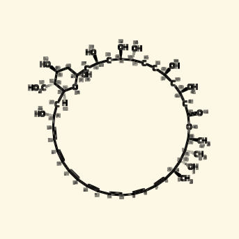 C[C@@H]1[C@H](O)[C@@H](C)C=CC=CC=CC=CC=CC=CC=C[C@H](O)C[C@@H]2O[C@](O)(C[C@@H](O)C[C@@H](O)[C@H](O)CC[C@@H](O)C[C@@H](O)CC(=O)O[C@H]1C)C[C@H](O)[C@H]2C(=O)O